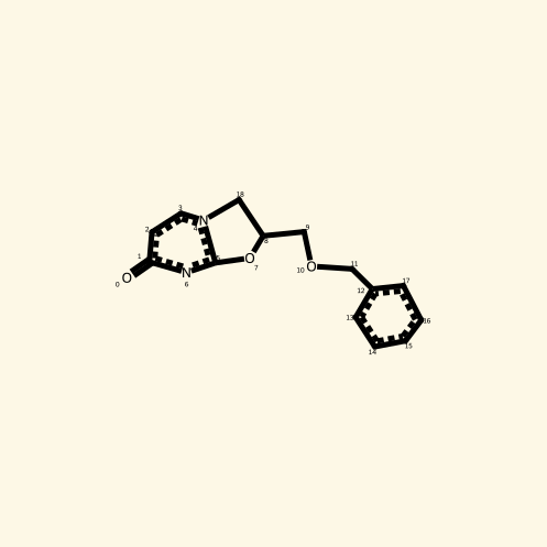 O=c1ccn2c(n1)OC(COCc1ccccc1)C2